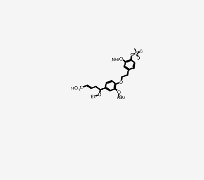 CCCCOc1cc(C(CC=CC(=O)O)OCC)ccc1OCCc1ccc(OS(C)(=O)=O)c(OC)c1